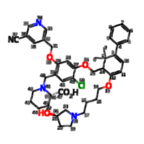 CC1(C)C(c2ccccc2)=CC=C(OCCCCN2CC[C@@H](O)C2)C1COc1cc(OCc2cncc(C#N)c2)c(CN2CCCC[C@H]2C(=O)O)cc1Cl